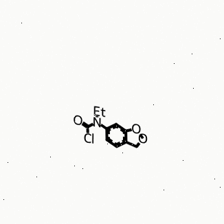 CCN(C(=O)Cl)c1ccc2c(c1)OOC2